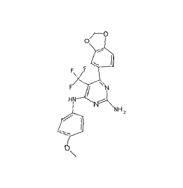 COc1ccc(Nc2nc(N)nc(-c3ccc4c(c3)OCO4)c2C(F)(F)F)cc1